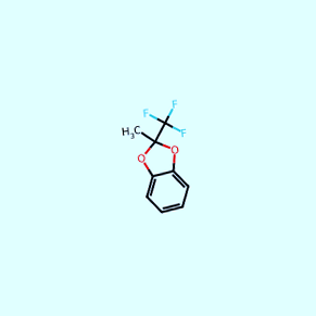 CC1(C(F)(F)F)Oc2ccccc2O1